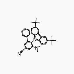 CN(C)c1cc(C#N)cc(-c2ccccc2)c1-n1c2ccc(C(C)(C)C)cc2c2cc(C(C)(C)C)ccc21